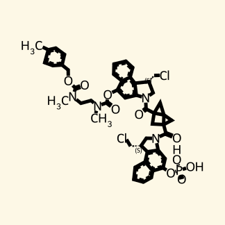 Cc1ccc(COC(=O)N(C)CCN(C)C(=O)Oc2cc3c(c4ccccc24)[C@H](CCl)CN3C(=O)C23CC4(C(=O)N5C[C@@H](CCl)c6c5cc(OP(=O)(O)O)c5ccccc65)CC24C3)cc1